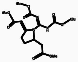 COC(=O)/C=C1\CCC(CC(=O)OC)N1/C(=N\C(=O)OC(C)(C)C)NC(=O)OC(C)(C)C